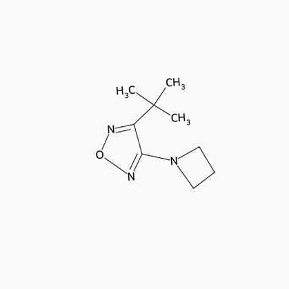 CC(C)(C)c1nonc1N1CCC1